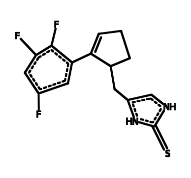 Fc1cc(F)c(F)c(C2=CCCC2Cc2c[nH]c(=S)[nH]2)c1